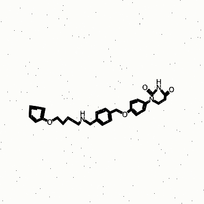 O=C1CCN(c2ccc(OCc3ccc(CNCCCCOc4ccccc4)cc3)cc2)C(=O)N1